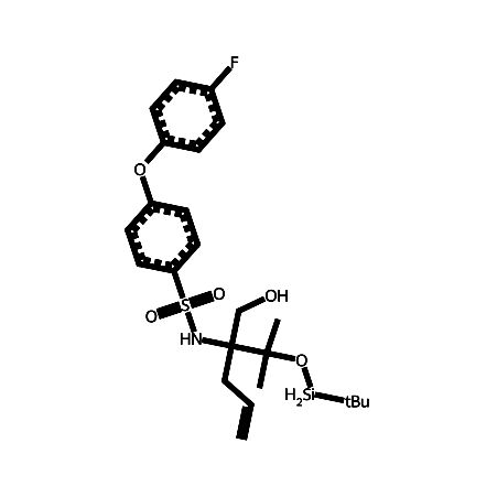 C=CCC(CO)(NS(=O)(=O)c1ccc(Oc2ccc(F)cc2)cc1)C(C)(C)O[SiH2]C(C)(C)C